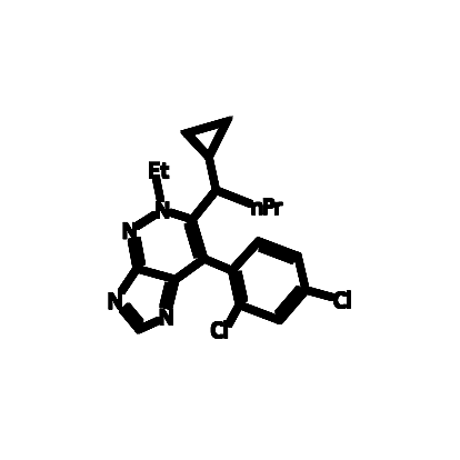 CCCC(c1c(-c2ccc(Cl)cc2Cl)c2ncnc-2nn1CC)C1CC1